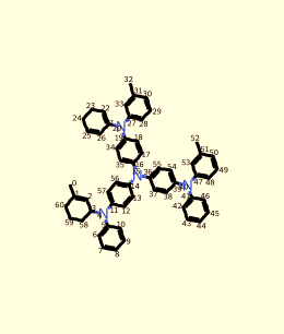 CC1=CC(N(c2ccccc2)c2ccc(N(c3ccc(N(C4=CCCC=C4)c4cccc(C)c4)cc3)c3ccc(N(c4ccccc4)c4cccc(C)c4)cc3)cc2)CCC1